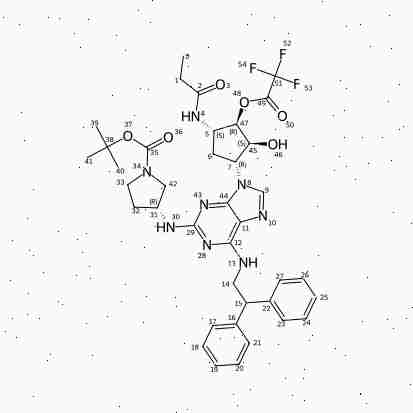 CCC(=O)N[C@H]1C[C@@H](n2cnc3c(NCC(c4ccccc4)c4ccccc4)nc(N[C@@H]4CCN(C(=O)OC(C)(C)C)C4)nc32)[C@H](O)[C@@H]1OC(=O)C(F)(F)F